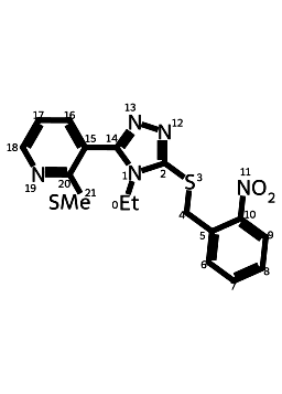 CCn1c(SCc2ccccc2[N+](=O)[O-])nnc1-c1cccnc1SC